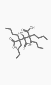 CCCCC(CCCC)(C(=O)O)C(O)(C(=O)O)C(CCCC)(C(=O)O)C(=O)CCC